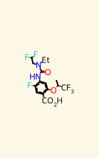 CCN(CC(F)F)C(=O)Nc1cc(O[C@@H](C)C(F)(F)F)c(C(=O)O)cc1F